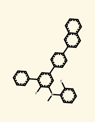 CN(c1ccccc1F)c1cc(-c2ccc(-c3ccc4ccccc4c3)cc2)cc(-c2ccccc2)c1F